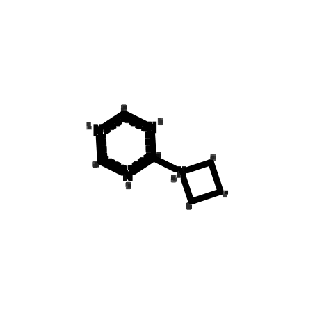 c1ncnc(N2CCC2)n1